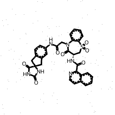 O=C(CN1C(=O)[C@@H](NC(=O)c2nccc3ccccc23)CS(=O)(=O)c2ccccc21)Nc1ccc2c(c1)CC1(C2)NC(=O)NC1=O